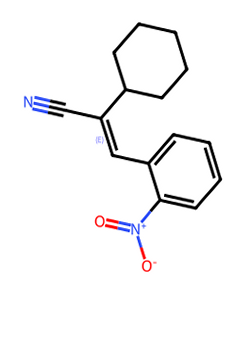 N#C/C(=C/c1ccccc1[N+](=O)[O-])C1CCCCC1